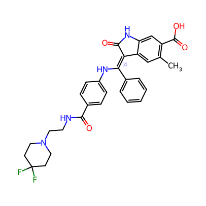 Cc1cc2c(cc1C(=O)O)NC(=O)/C2=C(\Nc1ccc(C(=O)NCCN2CCC(F)(F)CC2)cc1)c1ccccc1